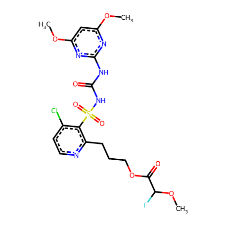 COc1cc(OC)nc(NC(=O)NS(=O)(=O)c2c(Cl)ccnc2CCCOC(=O)C(F)OC)n1